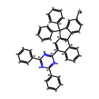 N#Cc1ccc2c(c1)C(c1ccccc1)(c1ccccc1)c1cc(-c3nc(-c4ccccc4)nc(-c4ccccc4)n3)c3ccccc3c1-2